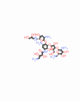 NC[C@@H](O)C(O)C(=O)N[C@@H]1C[C@H](N)[C@@H](O[C@H]2O[C@H](CNCC(O)CO)[C@@H](O)C[C@H]2N)[C@H](O[C@@H]2O[C@H](CO)[C@@H](O[C@H]3O[C@@H](CN)[C@@H](O)[C@H](O)[C@H]3N)[C@H]2O)[C@H]1O